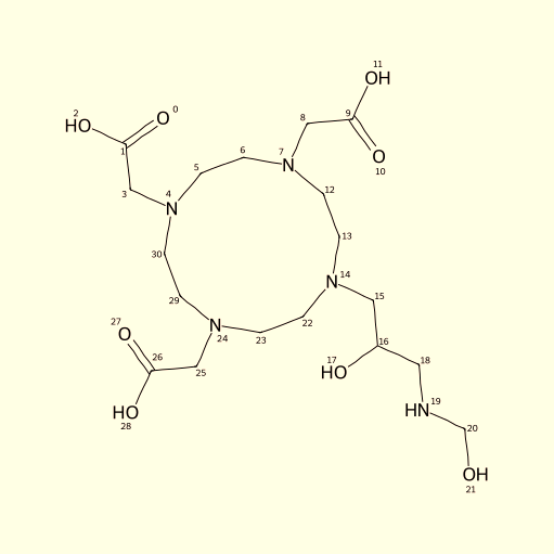 O=C(O)CN1CCN(CC(=O)O)CCN(CC(O)CNCO)CCN(CC(=O)O)CC1